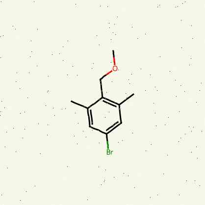 COCc1c(C)cc(Br)cc1C